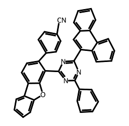 N#Cc1ccc(-c2ccc3c(oc4ccccc43)c2-c2nc(-c3ccccc3)nc(-c3cc4ccccc4c4ccccc34)n2)cc1